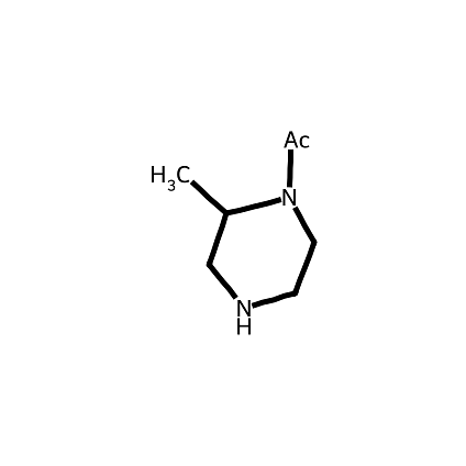 CC(=O)N1CCNCC1C